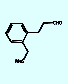 CSCc1ccccc1CCC=O